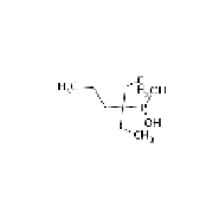 CCCC(CC)(CC)P(O)O